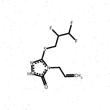 C=CCn1c(SCC(F)C(F)F)n[nH]c1=O